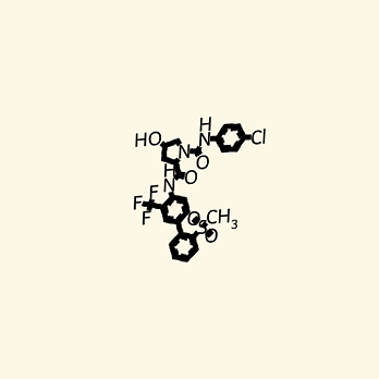 CS(=O)(=O)c1ccccc1-c1ccc(NC(=O)C2CC(O)CN2C(=O)Nc2ccc(Cl)cc2)c(C(F)(F)F)c1